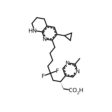 Cc1ncc([C@H](CC(=O)O)CC(F)(F)CCCCc2nc3c(cc2C2CC2)CCCN3)cn1